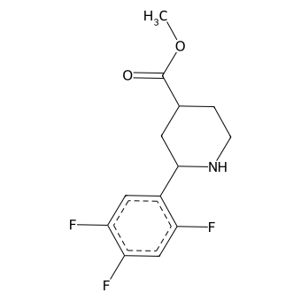 COC(=O)C1CCNC(c2cc(F)c(F)cc2F)C1